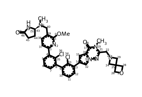 COc1nc(-c2cccc(-c3cccc(-c4cc5c(=O)n(C)c(CN6CC7(COC7)C6)nn5c4)c3Cl)c2Cl)ccc1CN(C)[C@H]1CCC(=O)N1